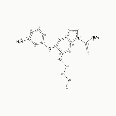 CNC(=O)n1ccc2cc(Oc3ccnc(N)c3)c(OCCCF)cc21